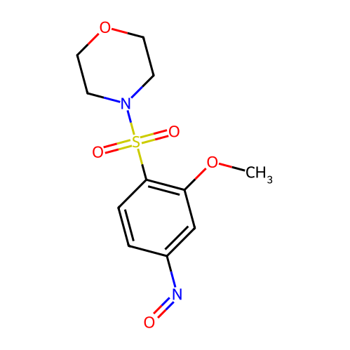 COc1cc(N=O)ccc1S(=O)(=O)N1CCOCC1